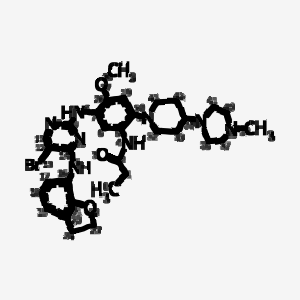 CCC(=O)Nc1cc(Nc2ncc(Br)c(Nc3cccc4c3OCC4)n2)c(OC)cc1N1CCC(N2CCN(C)CC2)CC1